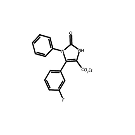 CCOC(=O)c1[nH]c(=O)n(-c2ccccc2)c1-c1cccc(F)c1